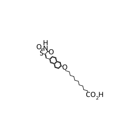 O=C(O)CCCCCCCCCCOc1ccc2cc(C=C3SC(=O)NC3=O)ccc2c1